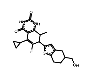 CC1c2[nH]c(=O)[nH]c(=O)c2C(C2CC2)=C(F)C1c1cc2c(s1)CCC(CO)C2